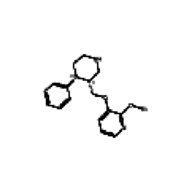 CCOc1ncccc1OC[C@H]1CNCC[C@@H]1c1ccccc1